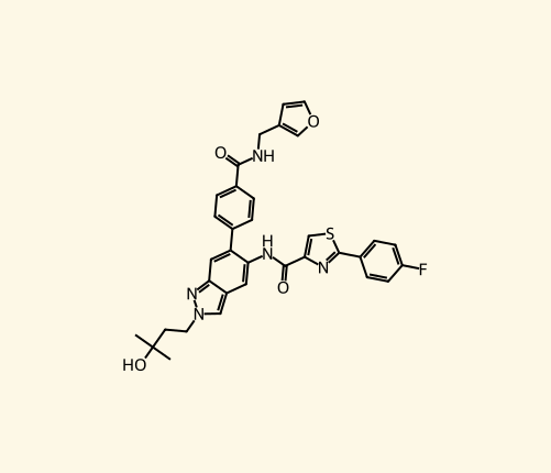 CC(C)(O)CCn1cc2cc(NC(=O)c3csc(-c4ccc(F)cc4)n3)c(-c3ccc(C(=O)NCc4ccoc4)cc3)cc2n1